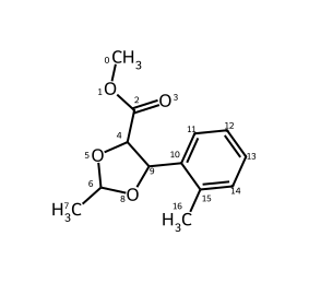 COC(=O)C1OC(C)OC1c1ccccc1C